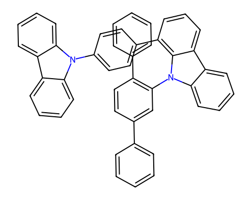 c1ccc(-c2ccc(-c3ccccc3)c(-n3c4ccccc4c4cccc(-c5ccc(-n6c7ccccc7c7ccccc76)cc5)c43)c2)cc1